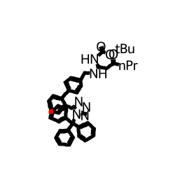 CCCC(=O)CC(NCc1ccc(-c2ccccc2-c2nnnn2C(c2ccccc2)(c2ccccc2)c2ccccc2)cc1)NC(=O)OC(C)(C)C